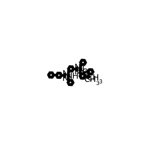 CC1(C)c2ccccc2Oc2c(-c3nc(-c4ccccc4)nc(-c4cccc(C5N=C(c6ccc(-c7ccccc7)cc6)N=C(c6ccccc6)N5)c4)n3)cccc21